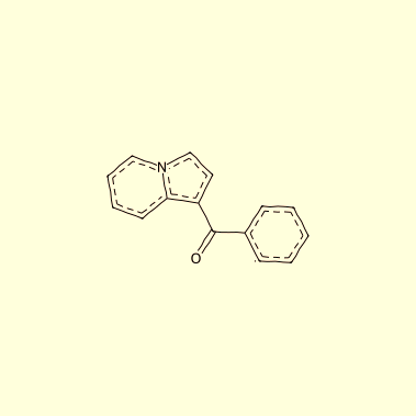 O=C(c1[c]cccc1)c1ccn2ccccc12